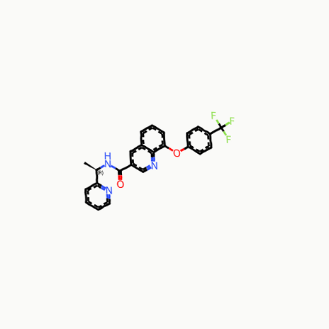 C[C@@H](NC(=O)c1cnc2c(Oc3ccc(C(F)(F)F)cc3)cccc2c1)c1ccccn1